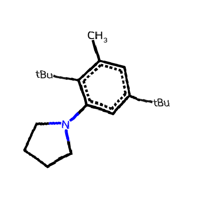 Cc1cc(C(C)(C)C)cc(N2CCCC2)c1C(C)(C)C